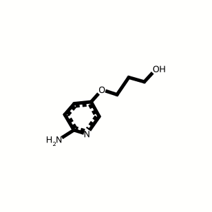 Nc1ccc(OCCCO)cn1